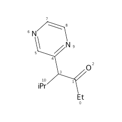 CCC(=O)C(c1cnccn1)C(C)C